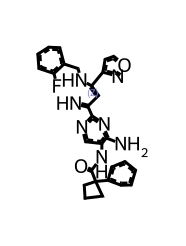 N=C(/C=C(\NCc1ccccc1F)c1ccon1)c1ncc(NC(=O)C2(c3ccccc3)CCC2)c(N)n1